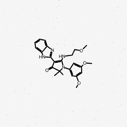 COCCNC1=C(c2nc3ccccc3[nH]2)C(=O)C(C)(C)N1c1cc(OC)cc(OC)c1